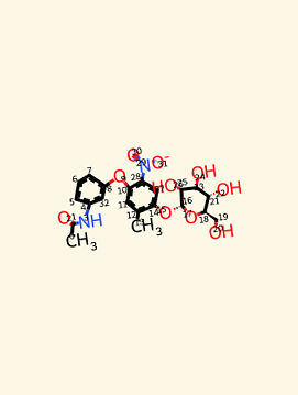 CC(=O)Nc1cccc(Oc2cc(C)c(O[C@H]3O[C@H](CO)[C@@H](O)[C@H](O)[C@@H]3O)cc2[N+](=O)[O-])c1